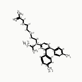 Cc1ccc(-c2ncc(N(CCOCCOCC(=O)O)C(C)C)nc2-c2ccc(C)cc2)cc1